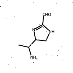 CC(N)C1CNC(C=O)=N1